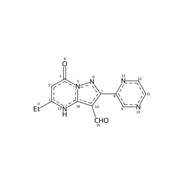 CCc1cc(=O)n2nc(-c3cnccn3)c(C=O)c2[nH]1